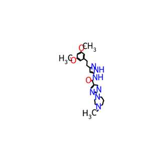 CCN1CCCN(c2ncc(C(=O)Nc3cc(CCc4cc(OC)cc(OC)c4)n[nH]3)cn2)CC1